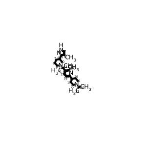 Cc1c[nH]nc1C1CCCN(C(C)(C)c2ccc(C3CCN(C(C)C)CC3)nc2C)C1